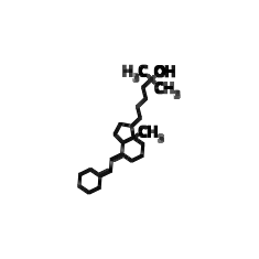 CC(C)(O)CCCCC1CCC2/C(=C/C=C3CCCCC3)CCCC12C